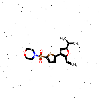 C=Cc1oc(C(C)C)cc1-c1ccc(S(=O)(=O)N2CCOCC2)s1